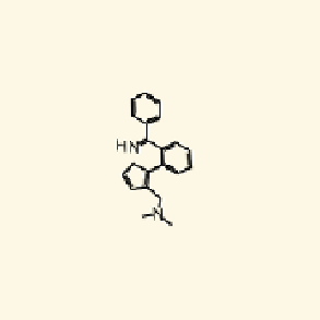 CN(C)CC1=C(c2ccccc2C(=N)c2ccccc2)CC=C1